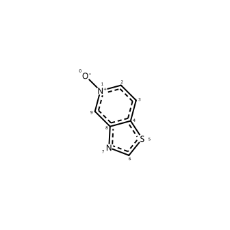 [O-][n+]1ccc2scnc2c1